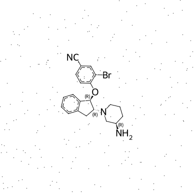 N#Cc1ccc(O[C@@H]2c3ccccc3C[C@H]2N2CCC[C@@H](N)C2)c(Br)c1